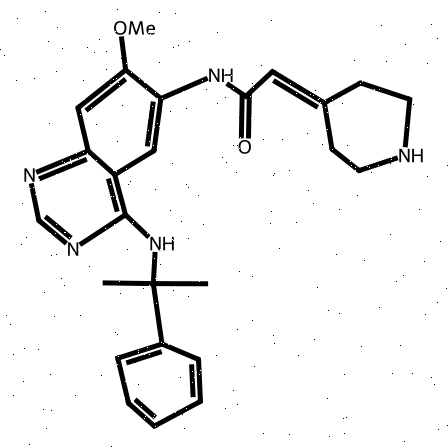 COc1cc2ncnc(NC(C)(C)c3ccccc3)c2cc1NC(=O)C=C1CCNCC1